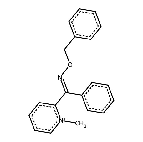 C[n+]1ccccc1C(=NOCc1ccccc1)c1ccccc1